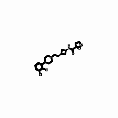 O=C(N[C@H]1C[C@H](CCN2CCN(c3cccc(Cl)c3Cl)CC2)C1)c1ccno1